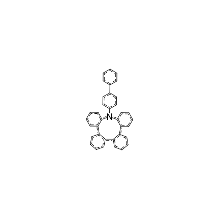 c1ccc(-c2ccc(-n3c4ccccc4c4ccccc4c4ccccc4c4ccccc43)cc2)cc1